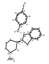 N[C@@H]1CCCN([C@@H]2Cc3ccccc3[C@H]2Oc2ccc(F)cc2)C1